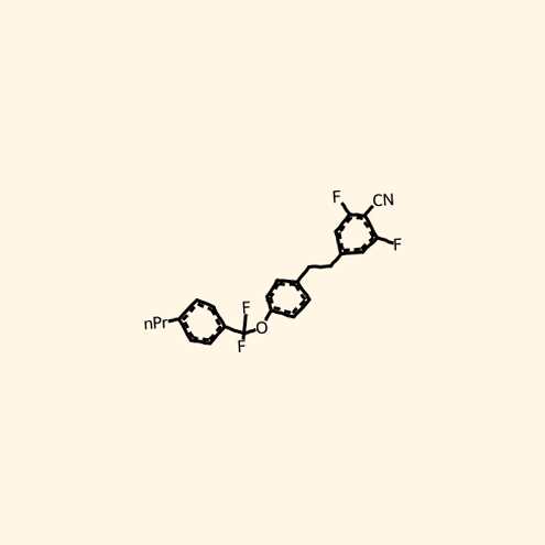 CCCc1ccc(C(F)(F)Oc2ccc(CCc3cc(F)c(C#N)c(F)c3)cc2)cc1